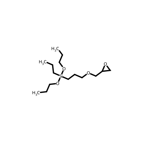 CCCO[Si](CCC)(CCCOCC1CO1)OCCC